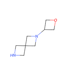 C1OCC1N1CC2(CNC2)C1